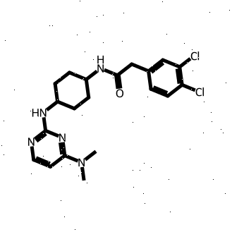 CN(C)c1ccnc(NC2CCC(NC(=O)Cc3ccc(Cl)c(Cl)c3)CC2)n1